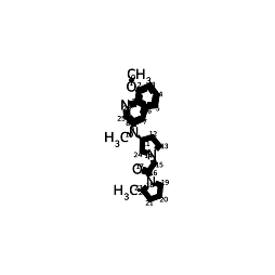 COc1cccc2cc(N(C)[C@H]3CCN(CC(=O)N4CCC[C@H]4C)C3)cnc12